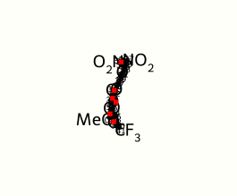 COc1cc(C(=O)Oc2ccc(/C=C/C(=O)OCCCCCCOCc3cc([N+](=O)[O-])cc([N+](=O)[O-])c3)cc2)ccc1OCCCC(F)(F)F